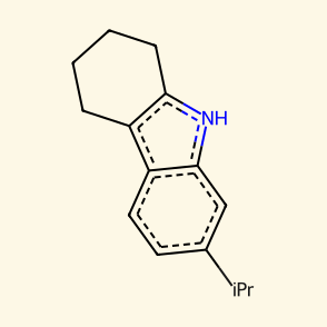 CC(C)c1ccc2c3c([nH]c2c1)CCCC3